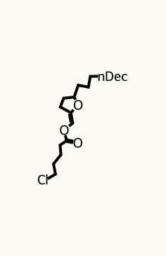 CCCCCCCCCCCCCC1CCC(=COC(=O)CCCCCl)O1